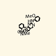 CNS(=O)(=O)c1ccccc1-n1ncc2cnc(Nc3ccccc3OC)nc21